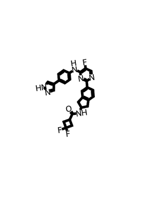 O=C(NC1Cc2ccc(-c3ncc(F)c(Nc4ccc(-c5cn[nH]c5)cc4)n3)cc2C1)C1CC(F)(F)C1